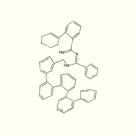 N=C(/N=C(\NCc1cccc(-c2ccccc2-c2ccccc2-c2ccccc2-c2ccccc2)c1)c1ccccc1)c1ccccc1C1=CCCCC1